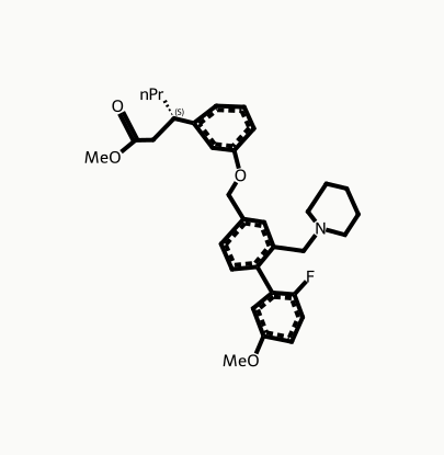 CCC[C@@H](CC(=O)OC)c1cccc(OCc2ccc(-c3cc(OC)ccc3F)c(CN3CCCCC3)c2)c1